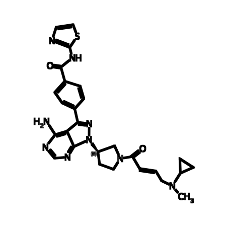 CN(CC=CC(=O)N1CC[C@@H](n2nc(-c3ccc(C(=O)Nc4nccs4)cc3)c3c(N)ncnc32)C1)C1CC1